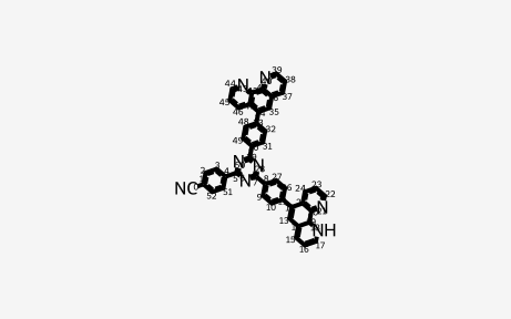 N#Cc1ccc(-c2nc(-c3ccc(C4=CC5=CC=CNC5c5ncccc54)cc3)nc(-c3ccc(-c4cc5cccnc5c5ncccc45)cc3)n2)cc1